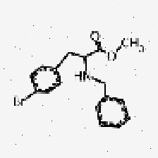 COC(=O)C(Cc1ccc(Br)cc1)NCc1ccccc1